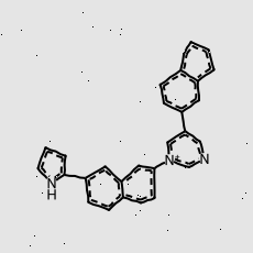 c1c[nH]c(-c2ccc3ccc(-[n+]4cncc(-c5ccc6ccccc6c5)c4)cc3c2)c1